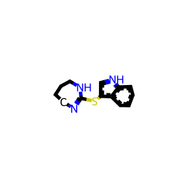 c1ccc2c(SC3=NCCCCN3)c[nH]c2c1